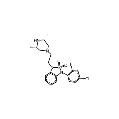 C[C@@H]1CN(CCN2c3ccccc3N(c3ccc(Cl)cc3F)S2(=O)=O)C[C@H](C)N1